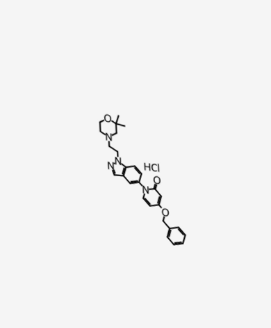 CC1(C)CN(CCn2ncc3cc(-n4ccc(OCc5ccccc5)cc4=O)ccc32)CCO1.Cl